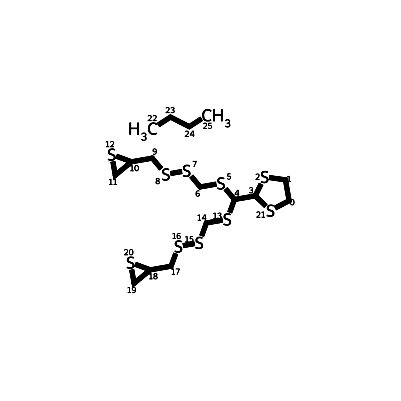 C1CSC(C(SCSSCC2CS2)SCSSCC2CS2)S1.CCCC